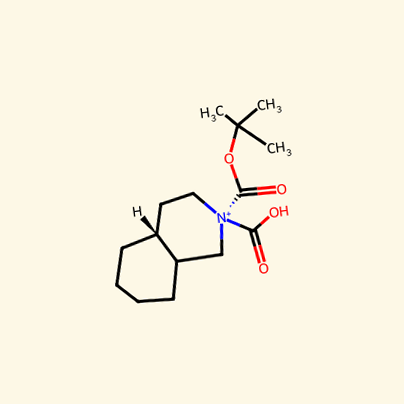 CC(C)(C)OC(=O)[N@@+]1(C(=O)O)CC[C@H]2CCCCC2C1